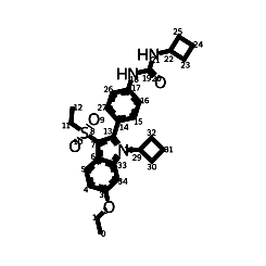 CCOc1ccc2c(S(=O)(=O)CC)c(-c3ccc(NC(=O)NC4CCC4)cc3)n(C3CCC3)c2c1